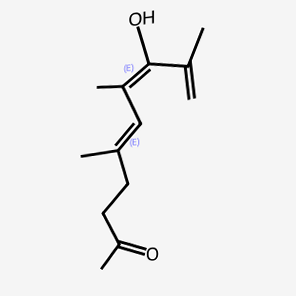 C=C(C)/C(O)=C(C)\C=C(/C)CCC(C)=O